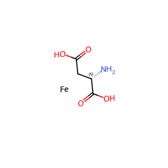 N[C@@H](CC(=O)O)C(=O)O.[Fe]